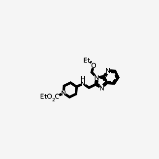 CCOCn1c(CNC2CCN(C(=O)OCC)CC2)nc2cccnc21